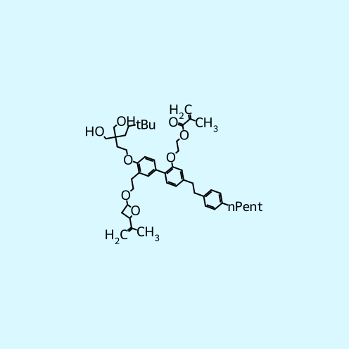 C=C(C)C(=O)OCCOc1cc(CCc2ccc(CCCCC)cc2)ccc1-c1ccc(OCCC(CO)(CO)CCC(C)(C)C)c(CCOC2CC(C(=C)C)O2)c1